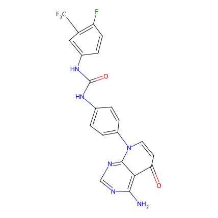 Nc1ncnc2c1c(=O)ccn2-c1ccc(NC(=O)Nc2ccc(F)c(C(F)(F)F)c2)cc1